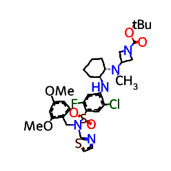 COc1ccc(CN(c2nccs2)S(=O)(=O)c2cc(Cl)c(N[C@H]3CCCC[C@@H]3N(C)C3CN(C(=O)OC(C)(C)C)C3)cc2F)c(OC)c1